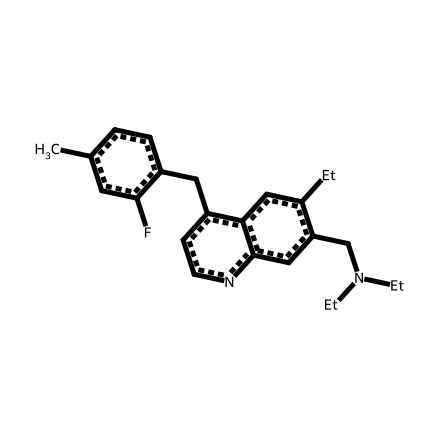 CCc1cc2c(Cc3ccc(C)cc3F)ccnc2cc1CN(CC)CC